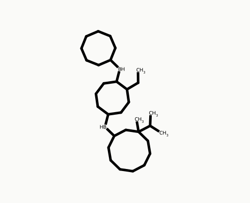 CCC1CCC(BC2CCCCCCCC(C)(C(C)C)C2)CCCC1BC1CCCCCCC1